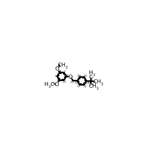 COc1cc(OC)cc(OCc2ccc(C(C)(C)C)cc2)c1